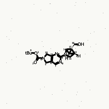 CC(C)(C)OC(=O)N1Cc2cnc(N3C[C@@H]4[C@@H]5C3[C@@]45CO)nc2C1